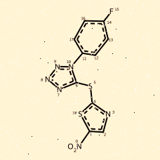 O=[N+]([O-])c1cnc(Sc2nnnn2-c2ccc(F)cc2)s1